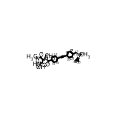 CNC(=O)C(C(=O)NO)N(C)C(=O)c1ccc(C#Cc2ccc(CN(C)C3CC3)cc2)cc1